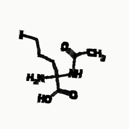 CC(=O)NC(N)(CCCI)C(=O)O